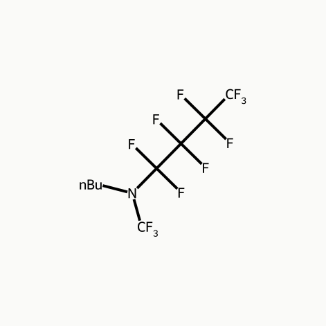 CCCCN(C(F)(F)F)C(F)(F)C(F)(F)C(F)(F)C(F)(F)F